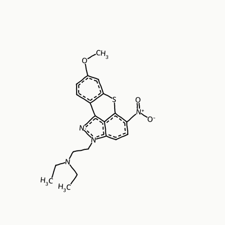 CCN(CC)CCn1nc2c3c(c([N+](=O)[O-])ccc31)Sc1cc(OC)ccc1-2